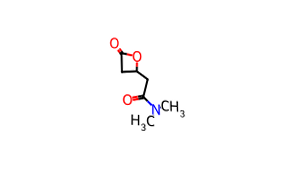 CN(C)C(=O)CC1CC(=O)O1